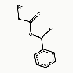 CCC(OC(=O)CC(C)C)c1ccccc1